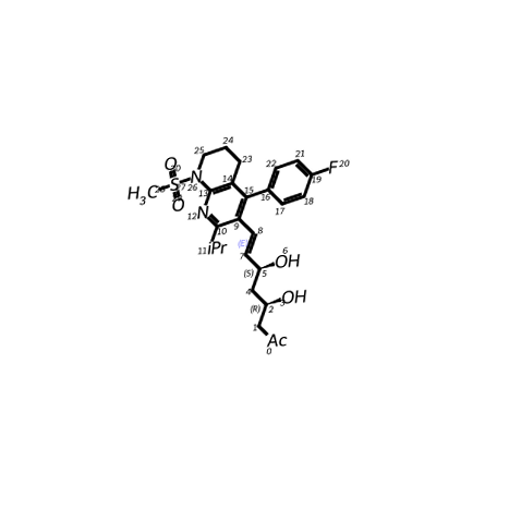 CC(=O)C[C@H](O)C[C@H](O)/C=C/c1c(C(C)C)nc2c(c1-c1ccc(F)cc1)CCCN2S(C)(=O)=O